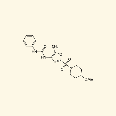 COC1CCN(S(=O)(=O)c2cc(NC(=O)Nc3ccccc3)c(C)o2)CC1